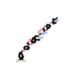 COC(=O)[C@H](Cc1ccc(Oc2ccnc(C)c2C)cc1)NC(=O)[C@@H]1Cc2cc3c(cc2CN1)O[C@@H](c1ccc(OCc2ccc(Cl)c(Cl)c2)cc1)CO3